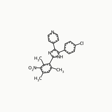 Cc1cc(C)c([N+](=O)[O-])c(C)c1-c1nc(-c2ccncc2)c(-c2ccc(Cl)cc2)[nH]1